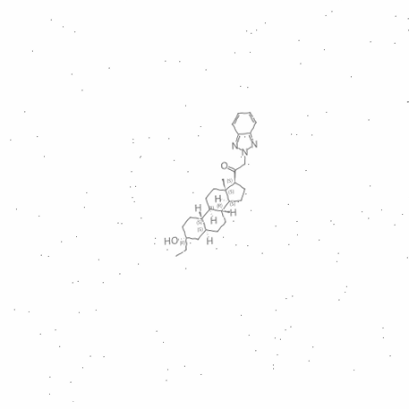 CC[C@@]1(O)CC[C@H]2[C@@H](CC[C@@H]3[C@@H]2CC[C@]2(C)[C@@H](C(=O)Cn4nc5ccccc5n4)CC[C@@H]32)C1